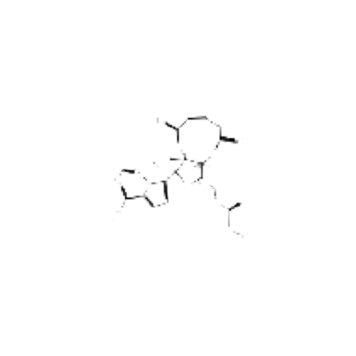 CC(C)OC(=O)OC[C@H]1O[C@@](C#N)(c2ccc3c(N)ncnn23)[C@@H]2OC(=O)CCCC(=O)O[C@@H]21